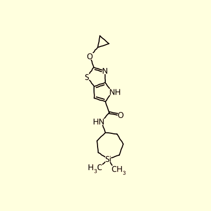 C[Si]1(C)CCCC(NC(=O)c2cc3sc(OC4CC4)nc3[nH]2)CC1